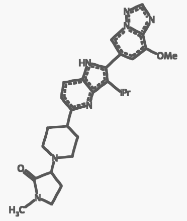 COc1cc(-c2[nH]c3ccc(C4CCN(C5CCN(C)C5=O)CC4)nc3c2C(C)C)cn2ncnc12